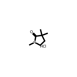 CN1CCC(C)(C)C1=O.Cl